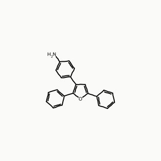 Nc1ccc(-c2cc(-c3ccccc3)oc2-c2ccccc2)cc1